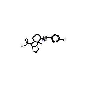 CC(C(=O)O)C1CCC/C(=N\Nc2ccc(Cl)cc2)C1(C)N1CCCC1